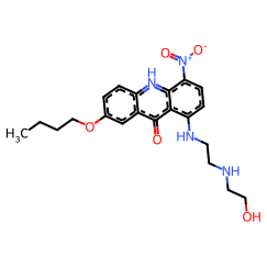 CCCCOc1ccc2[nH]c3c([N+](=O)[O-])ccc(NCCNCCO)c3c(=O)c2c1